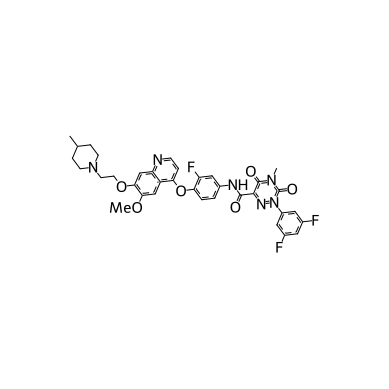 COc1cc2c(Oc3ccc(NC(=O)c4nn(-c5cc(F)cc(F)c5)c(=O)n(C)c4=O)cc3F)ccnc2cc1OCCN1CCC(C)CC1